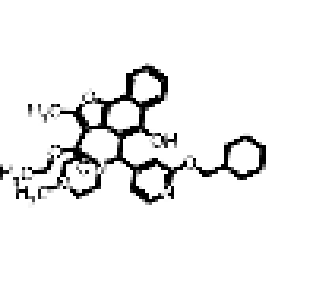 CCOC(=O)c1c(C)oc2c1c(C(c1ccnc(OCC3CCCCC3)c1)N1CCN(C)CC1)c(O)c1ccccc12